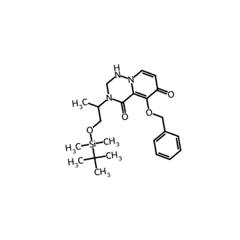 CC(CO[Si](C)(C)C(C)(C)C)N1CNn2ccc(=O)c(OCc3ccccc3)c2C1=O